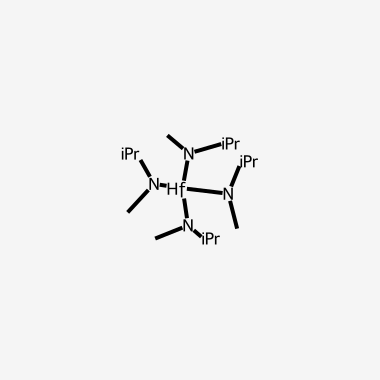 CC(C)[N](C)[Hf]([N](C)C(C)C)([N](C)C(C)C)[N](C)C(C)C